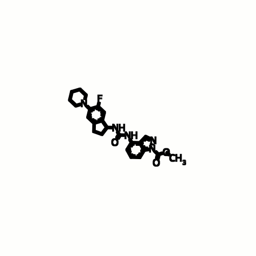 COC(=O)n1ncc2c(NC(=O)NC3CCc4cc(N5CCCCC5)c(F)cc43)cccc21